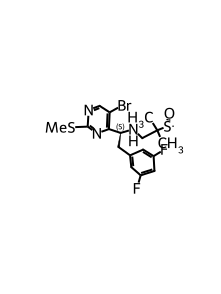 CSc1ncc(Br)c([C@H](Cc2cc(F)cc(F)c2)NCC(C)(C)[S]=O)n1